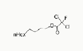 CCCCCCCCCCOC(=O)C(F)(Cl)Cl